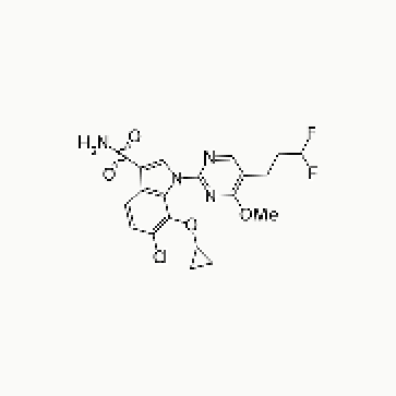 COc1nc(-n2cc(S(N)(=O)=O)c3ccc(Cl)c(OC4CC4)c32)ncc1CCC(F)F